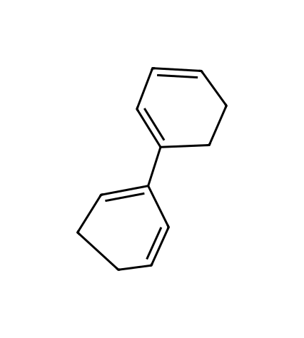 C1=CCCC(C2=CCCC=C2)=C1